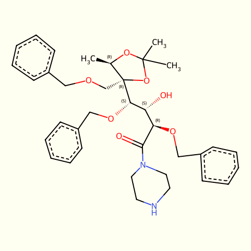 C[C@H]1OC(C)(C)O[C@@]1(COCc1ccccc1)[C@@H](OCc1ccccc1)[C@H](O)[C@@H](OCc1ccccc1)C(=O)N1CCNCC1